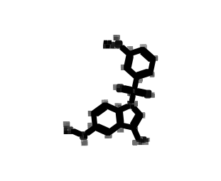 CCCc1cn(S(=O)(=O)c2cccc(OC)c2)c2ccc(OCC)cc12